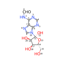 O=CNc1ncnc2c1ncn2[C@@]1(O)O[C@H](CO)[C@@H](O)[C@H]1O